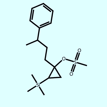 CC(CCC1(OS(C)(=O)=O)CC1[Si](C)(C)C)c1ccccc1